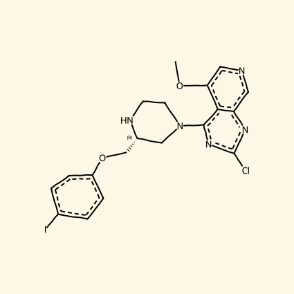 COc1cncc2nc(Cl)nc(N3CCN[C@@H](COc4ccc(I)cc4)C3)c12